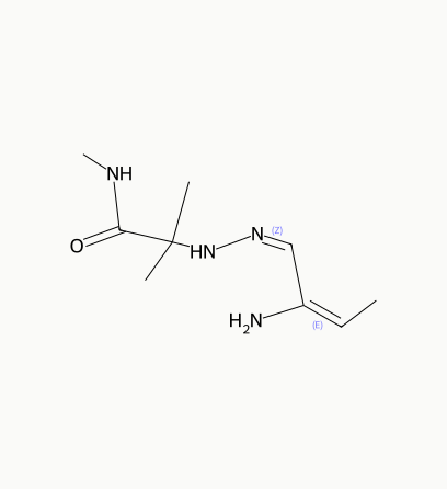 C/C=C(N)\C=N/NC(C)(C)C(=O)NC